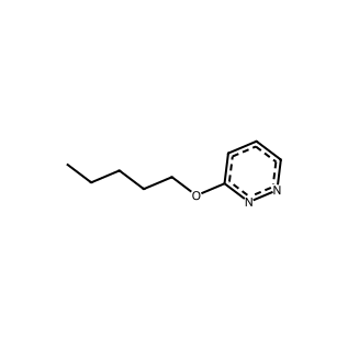 CCCCCOc1cccnn1